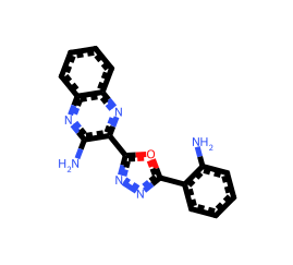 Nc1ccccc1-c1nnc(-c2nc3ccccc3nc2N)o1